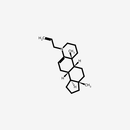 C=CCN1CCC[C@@]2(C)C1=CC[C@@H]1[C@H]2CC[C@]2(C)CCC[C@@H]12